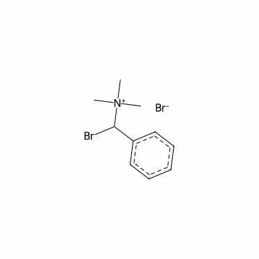 C[N+](C)(C)C(Br)c1ccccc1.[Br-]